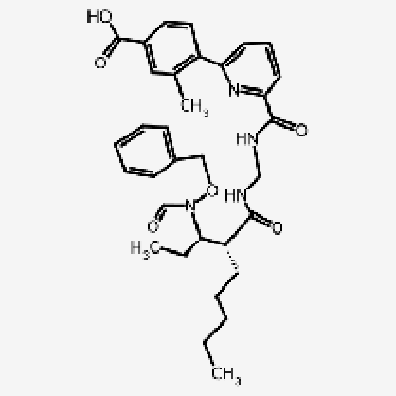 CCCCC[C@@H](C(=O)NCNC(=O)c1cccc(-c2ccc(C(=O)O)cc2C)n1)[C@@H](CC)N(C=O)OCc1ccccc1